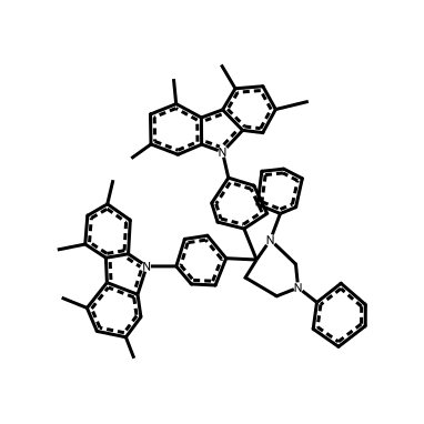 Cc1cc(C)c2c3c(C)cc(C)cc3n(-c3ccc(C4(c5ccc(-n6c7cc(C)cc(C)c7c7c(C)cc(C)cc76)cc5)CCN(c5ccccc5)CN4c4ccccc4)cc3)c2c1